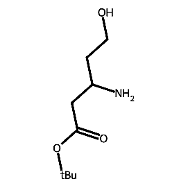 CC(C)(C)OC(=O)CC(N)CCO